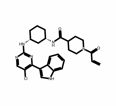 C=CC(=O)N1CCC(C(=O)N[C@H]2CCC[C@@H](Nc3ncc(Cl)c(-c4c[nH]c5ccccc45)n3)C2)CC1